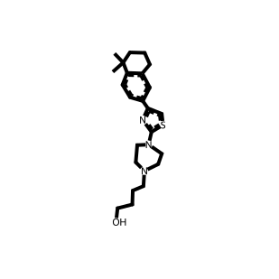 CC1(C)CCCc2cc(-c3csc(N4CCN(CCCCO)CC4)n3)ccc21